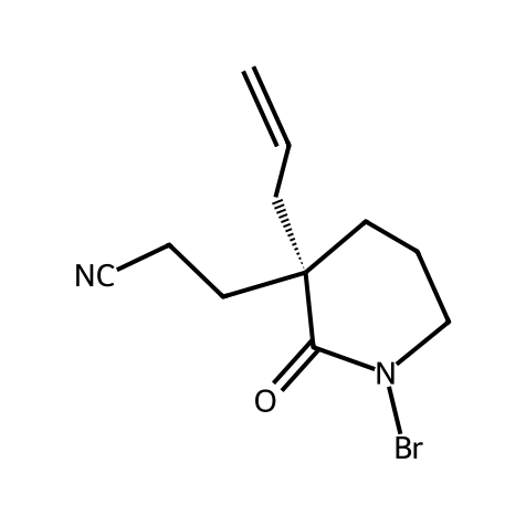 C=CC[C@]1(CCC#N)CCCN(Br)C1=O